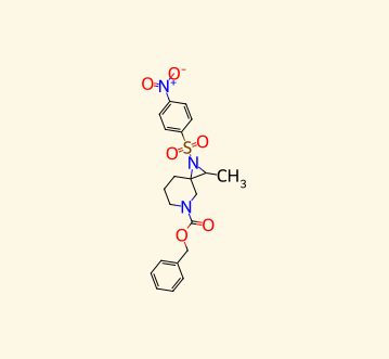 CC1N(S(=O)(=O)c2ccc([N+](=O)[O-])cc2)C12CCCN(C(=O)OCc1ccccc1)C2